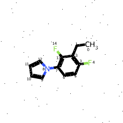 CCc1c(F)ccc(-n2cccc2)c1F